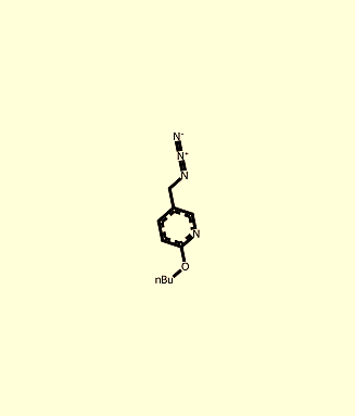 CCCCOc1ccc(CN=[N+]=[N-])cn1